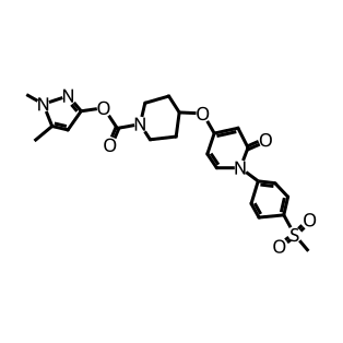 Cc1cc(OC(=O)N2CCC(Oc3ccn(-c4ccc(S(C)(=O)=O)cc4)c(=O)c3)CC2)nn1C